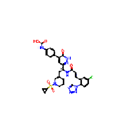 O=C(O)Nc1ccc(-c2cc([C@H](CC3CCCN(S(=O)(=O)C4CC4)C3)NC(=O)/C=C/c3cc(Cl)ccc3-n3cnnn3)n[nH]c2=O)cc1